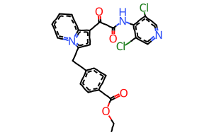 CCOC(=O)c1ccc(Cc2cc(C(=O)C(=O)Nc3c(Cl)cncc3Cl)c3ccccn23)cc1